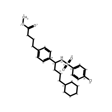 COC(=O)CCCc1ccc(C(CCCC2CCCCC2)NS(=O)(=O)c2ccc(Cl)cc2)cc1